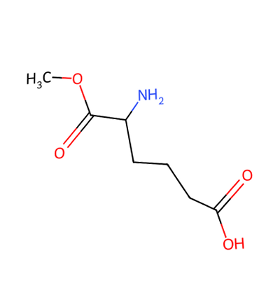 COC(=O)C(N)CCCC(=O)O